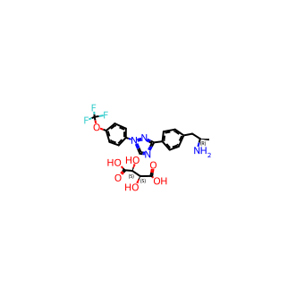 C[C@@H](N)Cc1ccc(-c2ncn(-c3ccc(OC(F)(F)F)cc3)n2)cc1.O=C(O)[C@@H](O)[C@H](O)C(=O)O